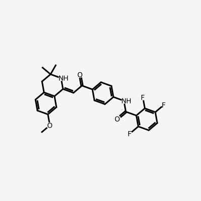 COc1ccc2c(c1)C(=CC(=O)c1ccc(NC(=O)c3c(F)ccc(F)c3F)cc1)NC(C)(C)C2